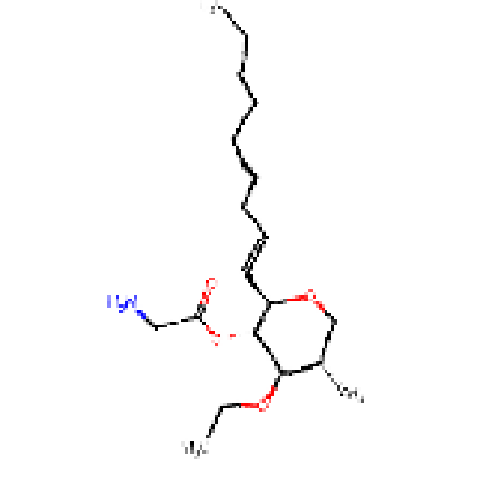 CCCCCCCC=C[C@H]1OC[C@H](C)[C@@H](OCC)[C@@H]1OC(=O)CN